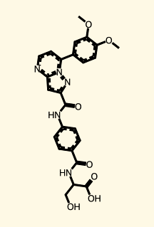 COc1ccc(-c2ccnc3cc(C(=O)Nc4ccc(C(=O)NC(CO)C(=O)O)cc4)nn23)cc1OC